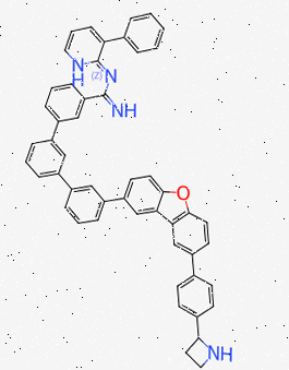 N=C(/N=c1\[nH]cccc1-c1ccccc1)c1cccc(-c2cccc(-c3cccc(-c4ccc5oc6ccc(-c7ccc(C8CCN8)cc7)cc6c5c4)c3)c2)c1